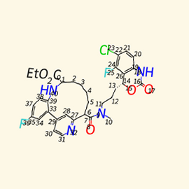 CCOC(=O)C1CCCCC(C(=O)N(C)CCC[C@H]2OC(=O)Nc3ccc(Cl)c(F)c32)c2cc(ccn2)-c2cc(F)ccc2N1